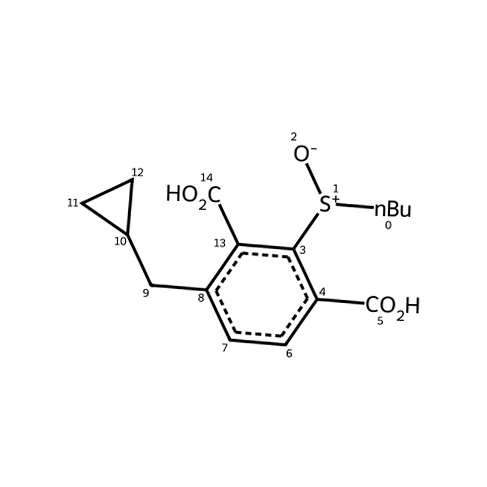 CCCC[S+]([O-])c1c(C(=O)O)ccc(CC2CC2)c1C(=O)O